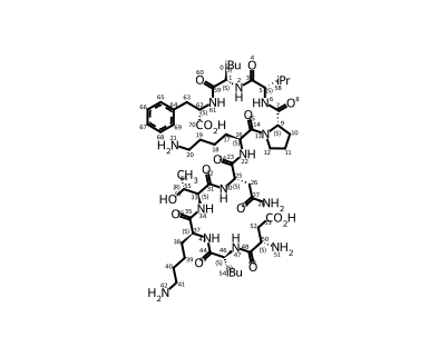 CC[C@H](C)[C@H](NC(=O)[C@@H](NC(=O)[C@@H]1CCCN1C(=O)[C@H](CCCCN)NC(=O)[C@H](CC(N)=O)NC(=O)[C@@H](NC(=O)[C@H](CCCCN)NC(=O)[C@@H](NC(=O)[C@@H](N)CC(=O)O)[C@@H](C)CC)[C@@H](C)O)C(C)C)C(=O)N[C@@H](Cc1ccccc1)C(=O)O